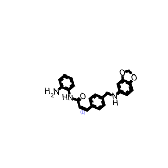 Nc1ccccc1NC(=O)/C=C\c1ccc(CNc2ccc3c(c2)OCO3)cc1